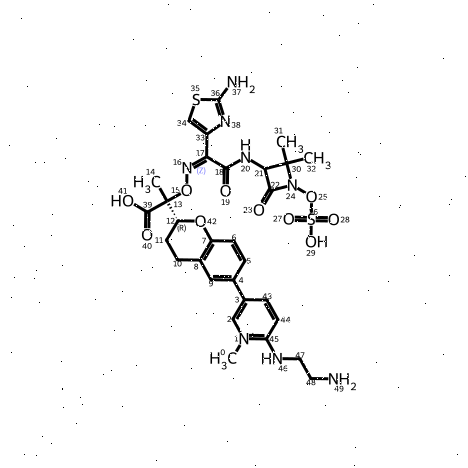 C[n+]1cc(-c2ccc3c(c2)CC[C@H](C(C)(O/N=C(\C(=O)NC2C(=O)N(OS(=O)(=O)O)C2(C)C)c2csc(N)n2)C(=O)O)O3)ccc1NCCN